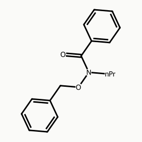 CCCN(OCc1ccccc1)C(=O)c1ccccc1